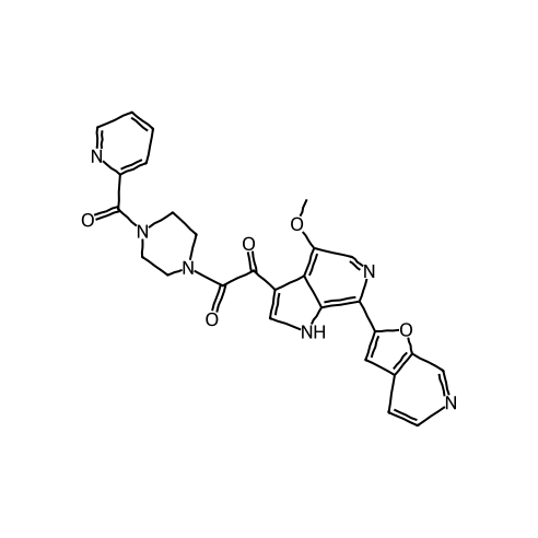 COc1cnc(-c2cc3ccncc3o2)c2[nH]cc(C(=O)C(=O)N3CCN(C(=O)c4ccccn4)CC3)c12